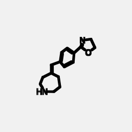 C(=C1CCCNCC1)c1ccc(C2=NCCO2)cc1